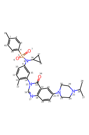 Cc1ccc(S(=O)(=O)N(c2ccc(C)c(-n3cnc4ccc(N5CCN(C(C)C)CC5)cc4c3=O)c2)C2CC2)cc1